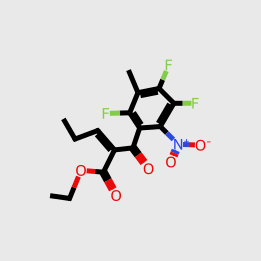 CCC=C(C(=O)OCC)C(=O)c1c(F)c(C)c(F)c(F)c1[N+](=O)[O-]